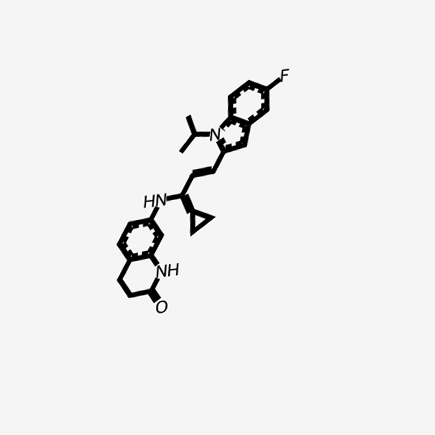 CC(C)n1c(/C=C/C(Nc2ccc3c(c2)NC(=O)CC3)=C2CC2)cc2cc(F)ccc21